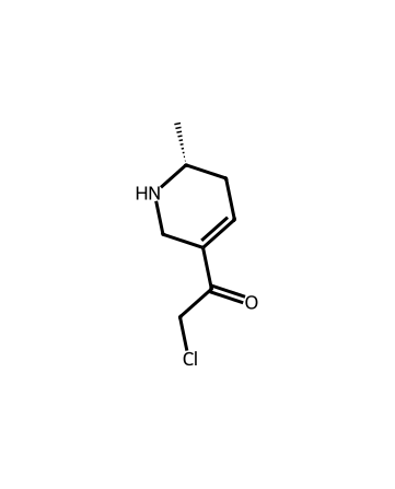 C[C@@H]1CC=C(C(=O)CCl)CN1